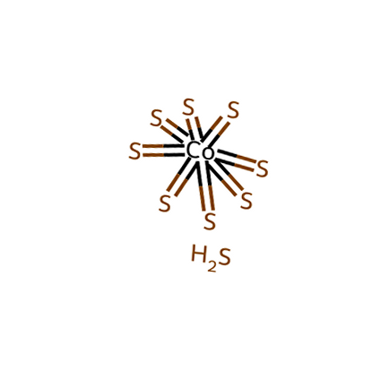 S.[S]=[Co](=[S])(=[S])(=[S])(=[S])(=[S])(=[S])=[S]